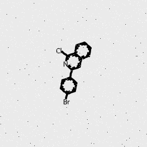 Clc1nc(-c2ccc(Br)cc2)cc2ccccc12